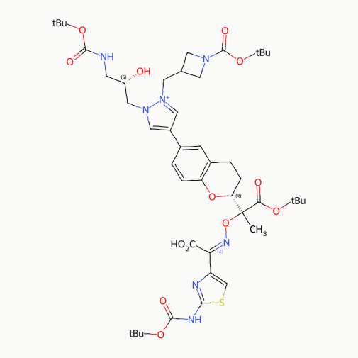 CC(C)(C)OC(=O)NC[C@H](O)Cn1cc(-c2ccc3c(c2)CC[C@H](C(C)(O/N=C(\C(=O)O)c2csc(NC(=O)OC(C)(C)C)n2)C(=O)OC(C)(C)C)O3)c[n+]1CC1CN(C(=O)OC(C)(C)C)C1